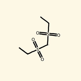 CCS(=O)(=O)[CH]S(=O)(=O)CC